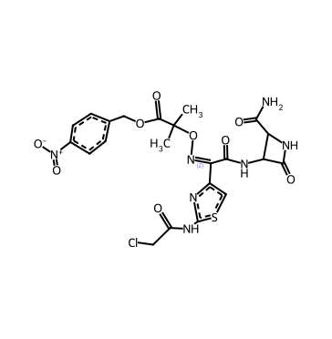 CC(C)(O/N=C(\C(=O)NC1C(=O)NC1C(N)=O)c1csc(NC(=O)CCl)n1)C(=O)OCc1ccc([N+](=O)[O-])cc1